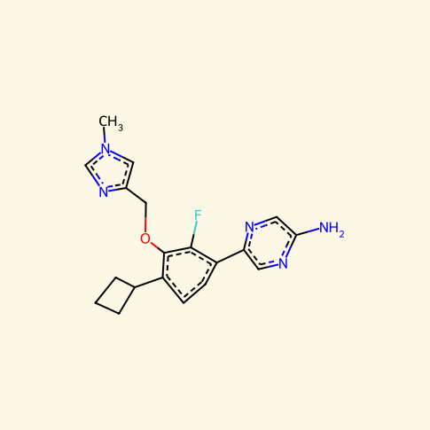 Cn1cnc(COc2c(C3CCC3)ccc(-c3cnc(N)cn3)c2F)c1